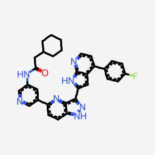 O=C(CC1CCCCC1)Nc1cncc(-c2ccc3[nH]nc(-c4cc5c(-c6ccc(F)cc6)ccnc5[nH]4)c3n2)c1